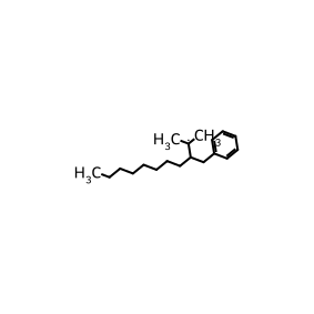 CCCCCCCCC(Cc1ccccc1)[C](C)C